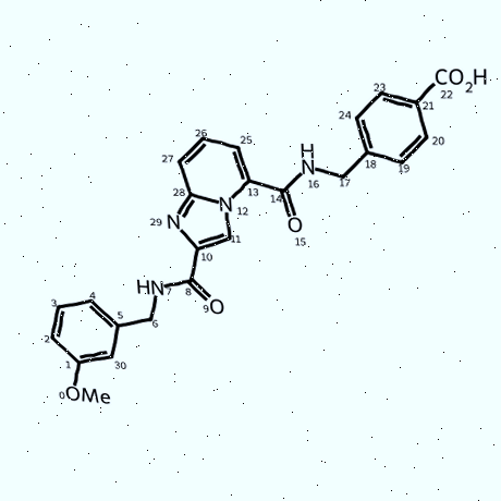 COc1cccc(CNC(=O)c2cn3c(C(=O)NCc4ccc(C(=O)O)cc4)cccc3n2)c1